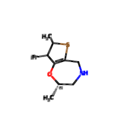 CC(C)C1C2=C(CNC[C@H](C)O2)SC1C